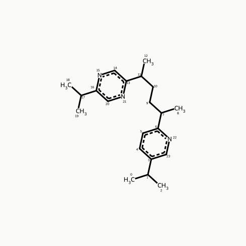 CC(C)c1ccc(C(C)CCC(C)c2cnc(C(C)C)cn2)nc1